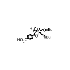 CCCCOCCOC(C)(OCCOCCCC)OC(=O)c1ccc(C(=O)O)cc1